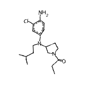 CCC(=O)N1CCC(N(CCC(C)C)c2ccc(N)c(Cl)c2)C1